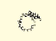 CC1CCCCCCCCCCCCCC(=O)C1(C)C